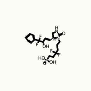 O=C1NC[C@H](C=CC(O)C(F)(F)c2ccccc2)N1CCCC(F)(F)CCP(=O)(O)O